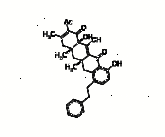 CC(=O)C1=C(C)C[C@@]2(C)C[C@@]3(C)Cc4c(CCc5ccccc5)ccc(O)c4C(=O)C3=C(O)[C@@]2(O)C1=O